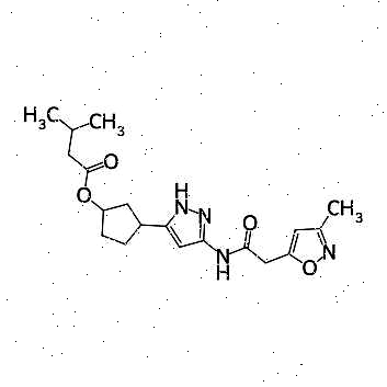 Cc1cc(CC(=O)Nc2cc(C3CCC(OC(=O)CC(C)C)C3)[nH]n2)on1